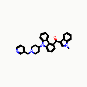 Cn1cc(C(=O)c2cccc3c2c2ccccc2n3C2CCN(Cc3cccnc3)CC2)c2ccccc21